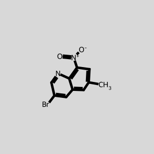 Cc1cc([N+](=O)[O-])c2ncc(Br)cc2c1